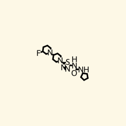 O=C(Nc1nnc(N2CCC(N3CCCC(F)C3)CC2)s1)NC1CCCC1